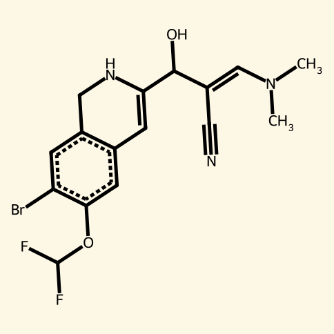 CN(C)/C=C(\C#N)C(O)C1=Cc2cc(OC(F)F)c(Br)cc2CN1